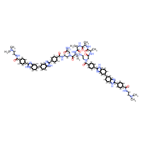 C[C@@H](NC(=O)CN(CCN)C(=O)c1ccc(-c2nc3cc(-c4ccc5[nH]c(-c6ccc(C(=O)NCCN(C)C)cc6)nc5c4)ccc3[nH]2)cc1)C(=O)N[C@H](C)C(=O)N[C@H](C)C(=O)N[C@H](C)C(=O)N(CCNC(=O)c1ccc(-c2nc3cc(-c4ccc5[nH]c(-c6ccc(C(=O)NCCN(C)C)cc6)nc5c4)ccc3[nH]2)cc1)CC(N)=O